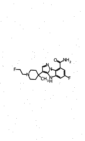 CC1(c2cnn3c2[nH]c2cc(F)cc(C(N)=O)c23)CCN(CCF)CC1